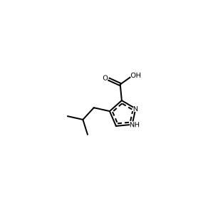 CC(C)Cc1c[nH]nc1C(=O)O